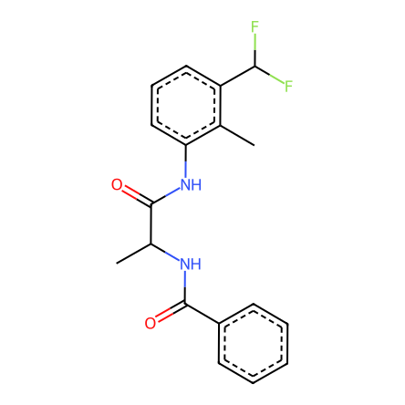 Cc1c(NC(=O)C(C)NC(=O)c2ccccc2)cccc1C(F)F